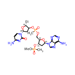 CC[C@H]1O[C@@H](n2ccc(N)nc2=O)CC1OP(C)(=O)OC[C@H]1O[C@@H](n2cnc3c(N)ncnc32)C[C@@H]1OP(C)(=O)OC